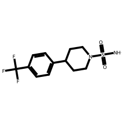 [NH]S(=O)(=O)N1CCC(c2ccc(C(F)(F)F)cc2)CC1